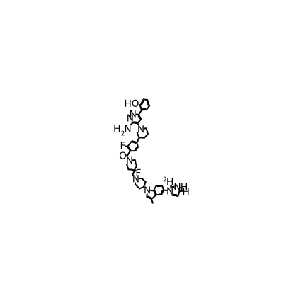 [2H]C1C=CN(c2ccc3c(c2)c(C)cn3C2CCN(CC3(F)CCN(C(=O)c4ccc(C5CCCN(c6cc(-c7ccccc7O)nnc6N)C5)cc4F)CC3)CC2)[C@H]([2H])N1